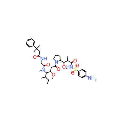 CCC(C)C(C(CC(=O)N1CCCC1C(OC)C(C)C(=O)NS(=O)(=O)c1ccc(N)cc1)OC)N(C)C(=O)CNC(=O)CC(C)(C)c1ccccc1